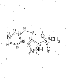 CS(=O)(=O)c1[nH]nc2c1CCc1cnccc1-2